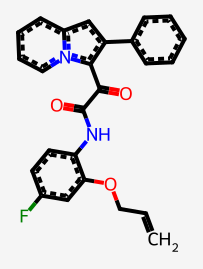 C=CCOc1cc(F)ccc1NC(=O)C(=O)c1c(-c2ccccc2)cc2ccccn12